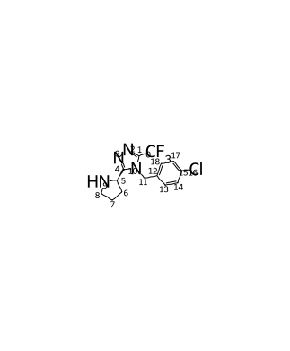 FC(F)(F)c1nnc([C@H]2CCCN2)n1Cc1ccc(Cl)cc1